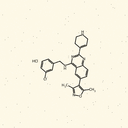 Cc1noc(C)c1-c1ccc2nc(C3=CCNCC3)nc(NCc3cccc(Cl)c3)c2c1.Cl